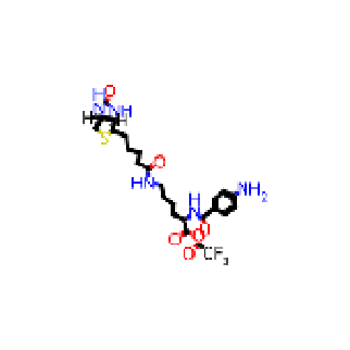 Nc1ccc(C(=O)NC(CCCCNC(=O)CCCCC2SC[C@@H]3NC(=O)N[C@H]23)C(=O)OC(=O)C(F)(F)F)cc1